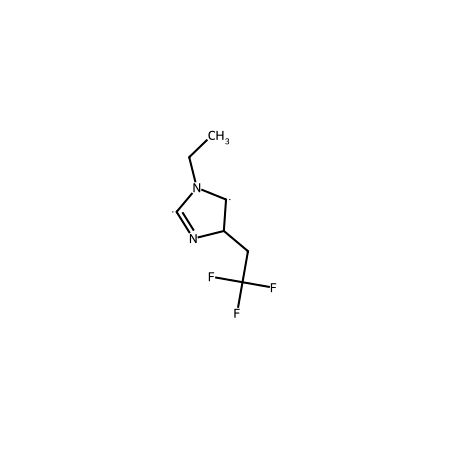 CCN1[C]=NC(CC(F)(F)F)[CH]1